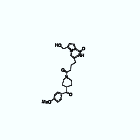 COc1ccc(C(=O)C2CCN(C(=O)CCCc3cn4c(CO)ccc4c(=O)[nH]3)CC2)cc1